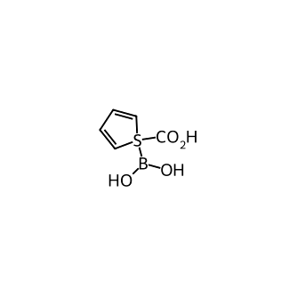 O=C(O)S1(B(O)O)C=CC=C1